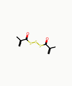 C=C(C)C(=O)SSSC(=O)C(=C)C